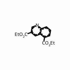 CCOC(=O)c1cnc2cccc(C(=O)OCC)c2c1